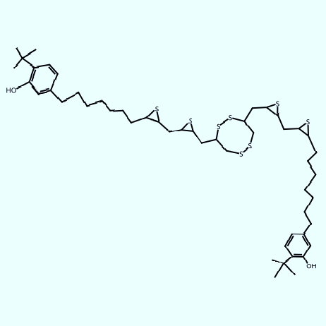 CC(C)(C)c1ccc(CCCCCCCC2SC2CC2SC2CC2CSSCC(CC3SC3CC3SC3CCCCCCCc3ccc(C(C)(C)C)c(O)c3)SS2)cc1O